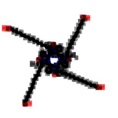 CC(C)(CCCCCCCCCCCCCCCCCCO)C(=O)Nc1ccccc1-c1c2nc(c(-c3ccccc3NC(=O)C(C)(C)CCCCCCCCCCCCCCCCCCO)c3ccc([nH]3)c(-c3ccccc3NC(=O)C(C)(C)CCCCCCCCCCCCCCCCCCO)c3nc(c(-c4ccccc4NC(=O)C(C)(C)CCCCCCCCCCCCCCCCCCO)c4ccc1[nH]4)C=C3)C=C2